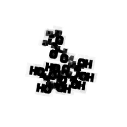 O=C(COC[C@H]1O[C@H](O[C@]2(CO)O[C@H](CO)[C@@H](O)[C@@H]2O)[C@H](O)[C@@H](O)[C@@H]1O)c1ccco1